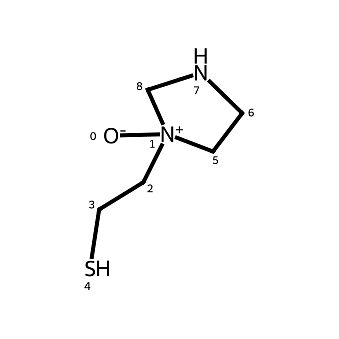 [O-][N+]1(CCS)CCNC1